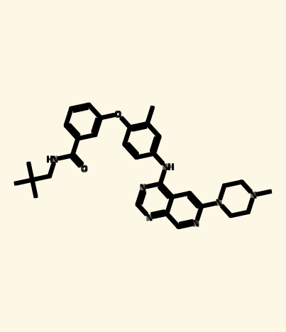 Cc1cc(Nc2ncnc3cnc(N4CCN(C)CC4)cc23)ccc1Oc1cccc(C(=O)NCC(C)(C)C)c1